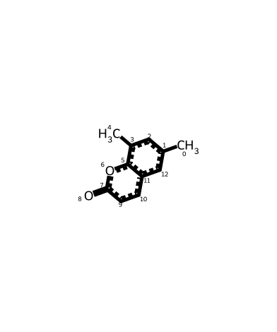 Cc1cc(C)c2oc(=O)ccc2c1